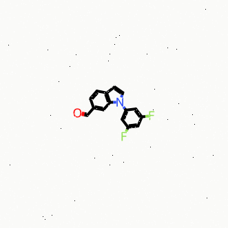 O=Cc1ccc2ccn(-c3cc(F)cc(F)c3)c2c1